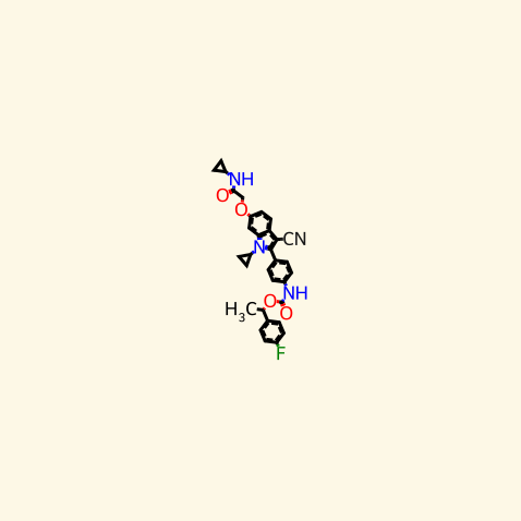 CC(OC(=O)Nc1ccc(-c2c(C#N)c3ccc(OCC(=O)NC4CC4)cc3n2C2CC2)cc1)c1ccc(F)cc1